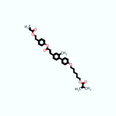 C=CC(=O)OCCc1ccc(OC(=O)/C=C/c2ccc(-c3ccc(OCCCCCCOC(=O)C(=C)C)cc3)c(C)c2)cc1